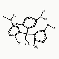 CCN(CC)c1ccc(C)c(C(COC(C)=O)(c2cc(N(CC)CC)ccc2C)c2cc(N(CC)CC)ccc2C)c1